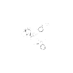 COc1ccc(CN[C@H](CCN2C(=O)c3ccccc3C2=O)C(=O)N2CCC[C@H]3CCCC[C@@H]32)c(OC)c1